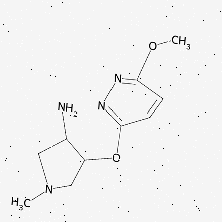 COc1ccc(OC2CN(C)CC2N)nn1